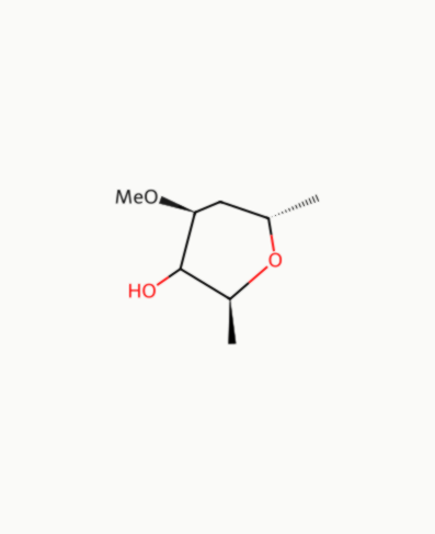 CO[C@H]1C[C@H](C)O[C@@H](C)C1O